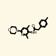 Cc1ccc(CC(=O)Nc2c(C)cc(N3CCOCC3)nc2C)cc1